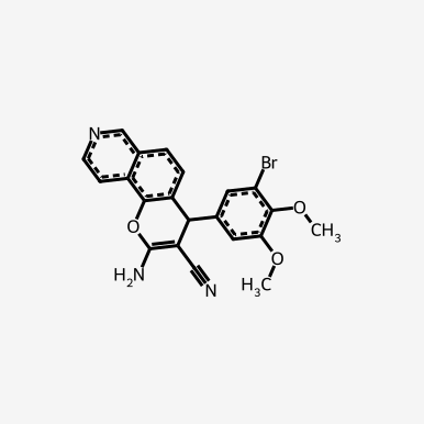 COc1cc(C2C(C#N)=C(N)Oc3c2ccc2cnccc32)cc(Br)c1OC